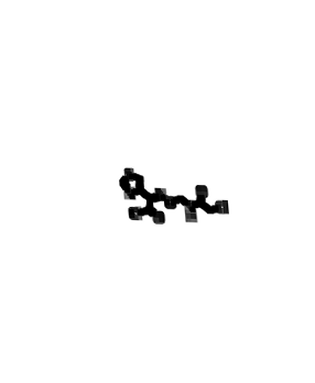 O=C(CCl)NCON=C(C(=O)Cl)c1cscn1